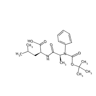 CC(C)C[C@H](NC(=O)[C@H](C)N(C(=O)OC(C)(C)C)c1ccccc1)C(=O)O